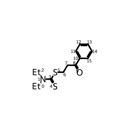 CCN(CC)C(=S)SCCC(=O)c1ccccc1